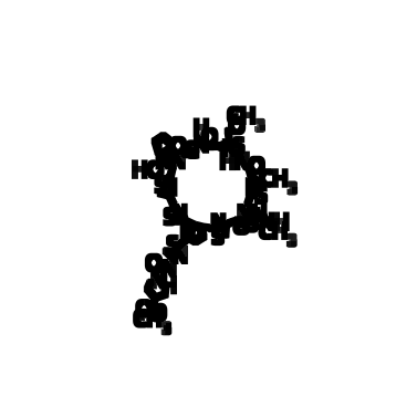 CNC(=O)C[C@@H]1NC(=O)c2csc(n2)-c2ccc(-c3nc(NC(=O)N4CCC(C(=O)OC)CC4)cs3)nc2-c2csc(n2)-c2csc(n2)[C@H]([C@@H](O)c2ccccc2)NC(=O)CNC(=O)c2nc(sc2COC)NC(=O)c2nc1sc2C